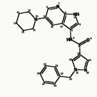 O=C(Nc1c[nH]c2ncc(N3CCCCC3)cc12)c1cnn(Cc2ccccc2)c1